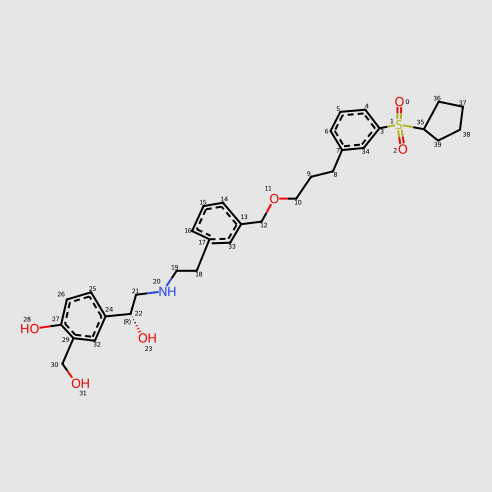 O=S(=O)(c1cccc(CCCOCc2cccc(CCNC[C@H](O)c3ccc(O)c(CO)c3)c2)c1)C1CCCC1